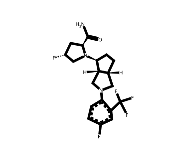 NC(=O)[C@@H]1C[C@@H](F)CN1[C@H]1CC[C@@H]2CN(c3ccc(F)cc3C(F)(F)F)C[C@@H]21